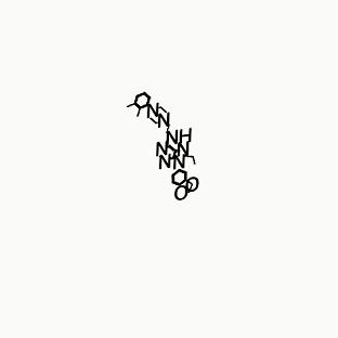 CCc1nc2c(NCCN3CCN(c4cccc(C)c4C)CC3)ncnc2n1-c1ccc2c(c1)OCO2